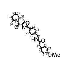 COc1ccc(CC(=O)NCc2ccc(-c3nc(C(=O)N4C(C)CCCC4C)co3)cc2)cc1